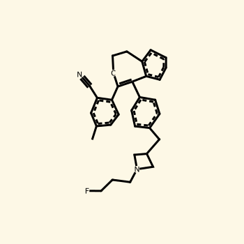 Cc1ccc(C2=C(c3ccc(CC4CN(CCCF)C4)cc3)c3ccccc3CCC2)c(C#N)c1